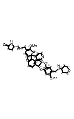 COC1=C(CNC[C@@H]2CCC(=O)N2)C=C(Cl)C(c2ccncc2)(c2cccc3c2CC[C@@H]3Oc2nc(OC)c(CNC3CCOCC3)cc2C(F)(F)F)N1